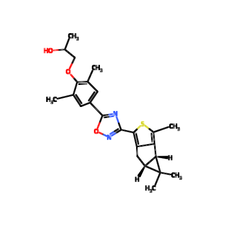 Cc1cc(-c2nc(-c3sc(C)c4c3C[C@@H]3[C@H]4C3(C)C)no2)cc(C)c1OCC(C)O